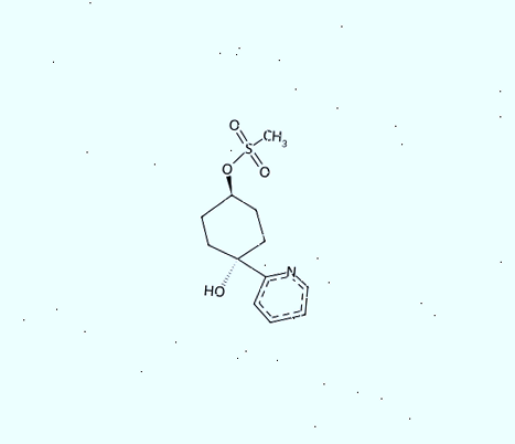 CS(=O)(=O)O[C@H]1CC[C@@](O)(c2ccccn2)CC1